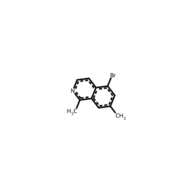 Cc1cc(Br)c2ccnc(C)c2c1